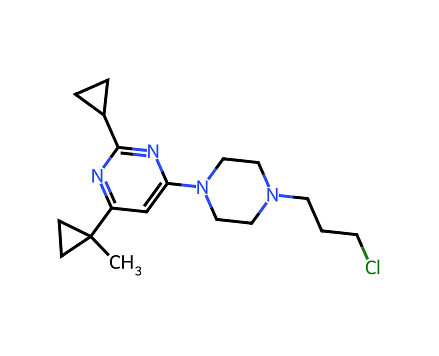 CC1(c2cc(N3CCN(CCCCl)CC3)nc(C3CC3)n2)CC1